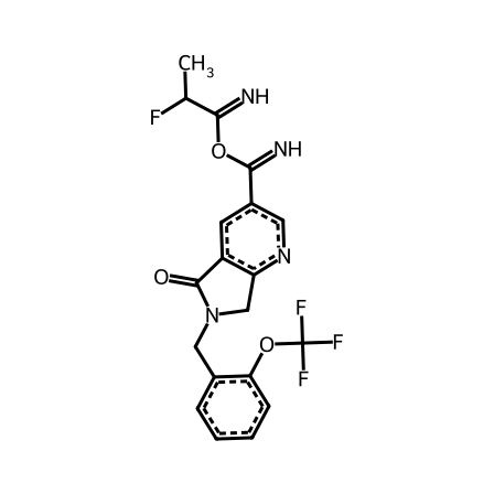 CC(F)C(=N)OC(=N)c1cnc2c(c1)C(=O)N(Cc1ccccc1OC(F)(F)F)C2